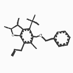 C=CCc1c(C)c(OCc2ccccc2)c(C(C)(C)C)c2c1OC(C)C2C